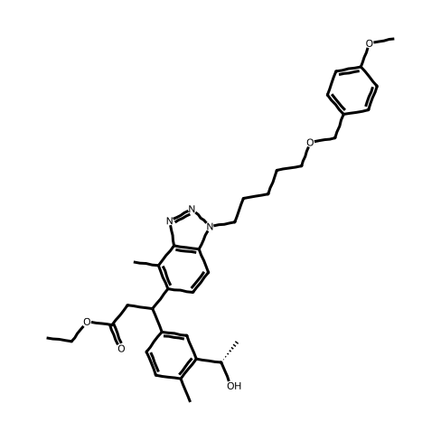 CCOC(=O)CC(c1ccc(C)c([C@H](C)O)c1)c1ccc2c(nnn2CCCCCOCc2ccc(OC)cc2)c1C